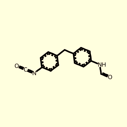 O=C=Nc1ccc(Cc2ccc(NC=O)cc2)cc1